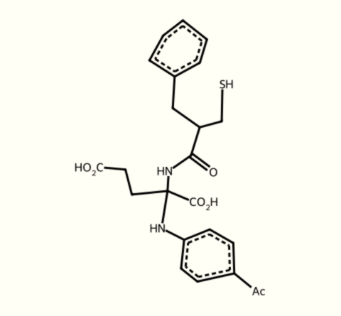 CC(=O)c1ccc(NC(CCC(=O)O)(NC(=O)C(CS)Cc2ccccc2)C(=O)O)cc1